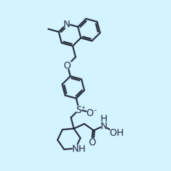 Cc1cc(COc2ccc([S+]([O-])CC3(CC(=O)NO)CCCNC3)cc2)c2ccccc2n1